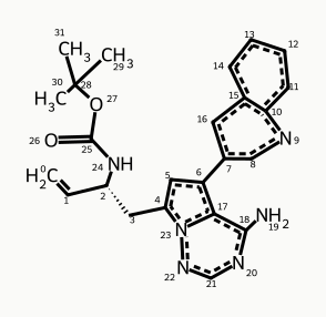 C=C[C@@H](Cc1cc(-c2cnc3ccccc3c2)c2c(N)ncnn12)NC(=O)OC(C)(C)C